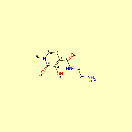 Cn1ccc(C(=O)NCCN)c(O)c1=O